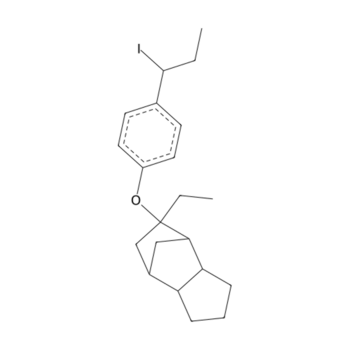 CCC(I)c1ccc(OC2(CC)CC3CC2C2CCCC32)cc1